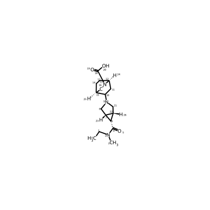 CCN(C)C(=O)[C@@H]1[C@@H]2CN(C3C[C@@H]4CC[C@H]3CN4C(=O)O)C[C@@H]21